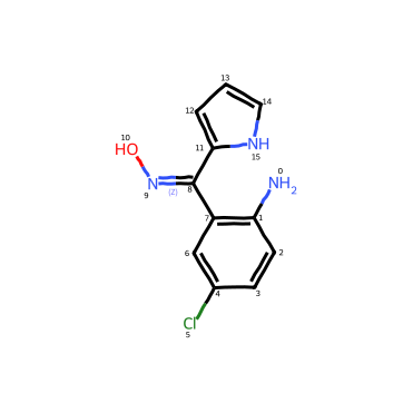 Nc1ccc(Cl)cc1/C(=N/O)c1ccc[nH]1